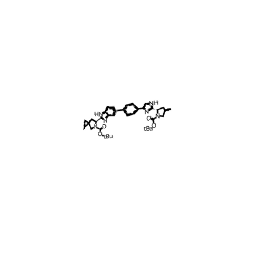 C=C1C[C@@H](c2nc(-c3ccc(-c4ccc5[nH]c([C@@H]6CC7(CC7)CN6C(=O)OC(C)(C)C)nc5c4)cc3)c[nH]2)N(C(=O)OC(C)(C)C)C1